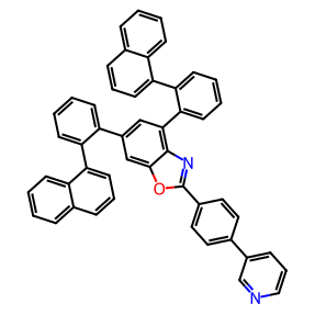 c1cncc(-c2ccc(-c3nc4c(-c5ccccc5-c5cccc6ccccc56)cc(-c5ccccc5-c5cccc6ccccc56)cc4o3)cc2)c1